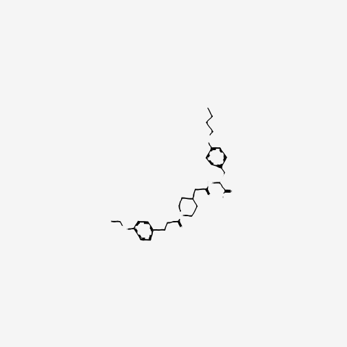 CCCCOc1ccc(C[C@H](NC(=O)CC2CCN(C(=O)CCc3ccc(OCC)cc3)CC2)C(=O)O)cc1